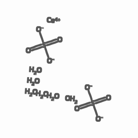 O.O.O.O.O.O.O=S(=O)([O-])[O-].O=S(=O)([O-])[O-].[Ce+4]